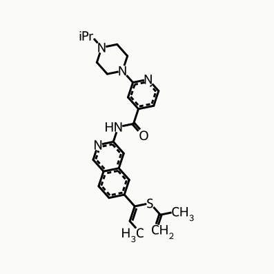 C=C(C)S/C(=C\C)c1ccc2cnc(NC(=O)c3ccnc(N4CCN(C(C)C)CC4)c3)cc2c1